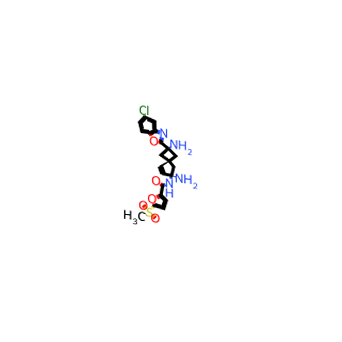 CS(=O)(=O)c1ccc(C(=O)N[C@@]2(N)C#C[C@]3(C2)C[C@](N)(c2nc4cc(Cl)ccc4o2)C3)o1